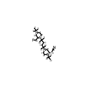 CC(C)(C)N1CCN(C(C)(C)CCC(C)(C)N2CCN(C(C)(C)C)[C@@H](CC#N)C2)C(CF)C1